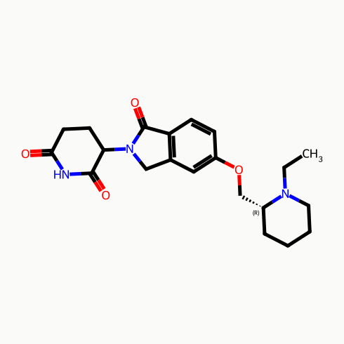 CCN1CCCC[C@@H]1COc1ccc2c(c1)CN(C1CCC(=O)NC1=O)C2=O